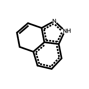 C1=Cc2n[nH]c3cccc(c23)C1